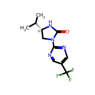 CC(C)[C@H]1CN(c2ncc(C(F)(F)F)cn2)C(=O)N1